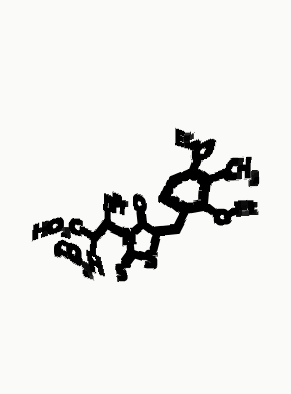 CCCC(C(C(=O)O)C(=O)O)N1C(=O)/C(=C\c2ccc(OCC)c(C)c2OCC)SC1=S